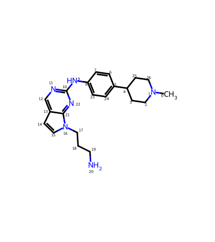 CN1CCC(c2ccc(Nc3ncc4ccn(CCCN)c4n3)cc2)CC1